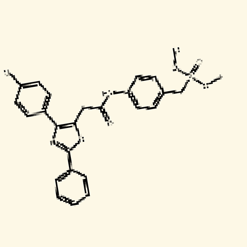 CCOP(=O)(Cc1ccc(NC(=O)Cc2oc(-c3ccccc3)nc2-c2ccc(Cl)cc2)cc1)OCC